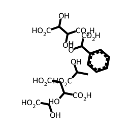 CC(O)C(=O)O.O=C(O)C(O)C(O)C(=O)O.O=C(O)C(O)c1ccccc1.O=C(O)CC(O)C(=O)O.O=C(O)CO